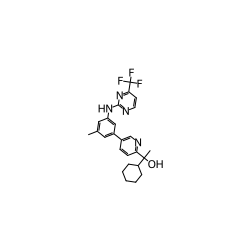 Cc1cc(Nc2nccc(C(F)(F)F)n2)cc(-c2ccc(C(C)(O)C3CCCCC3)nc2)c1